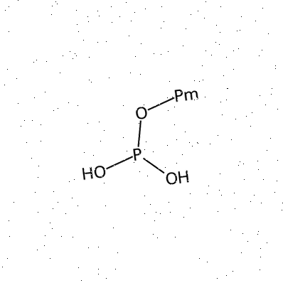 OP(O)[O][Pm]